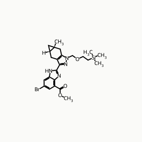 COC(=O)c1cc(Br)cc2[nH]c(-c3nn(COCC[Si](C)(C)C)c4c3C[C@@H]3C[C@]3(C)C4)nc12